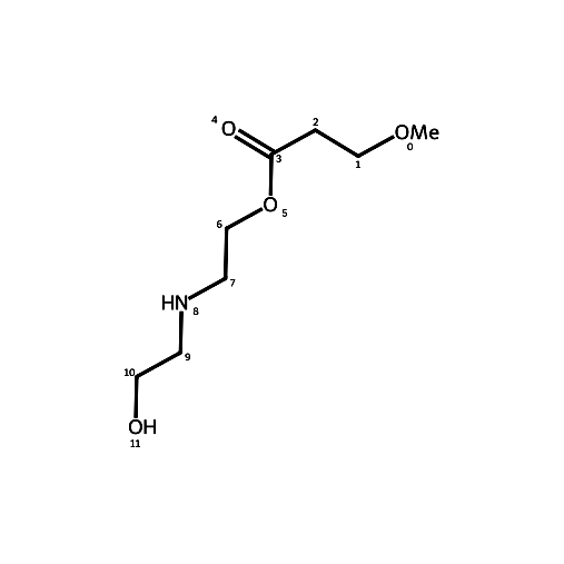 COCCC(=O)OCCNCCO